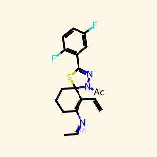 C=CC1=C(/N=C\C)CCCC12SC(c1cc(F)ccc1F)=NN2C(C)=O